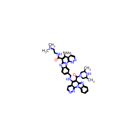 CNc1c(C(=O)NCCN(C)C)c2nc3ccc(CNc4c(C(=O)N5CC(C)NC(C)C5)c5nc6ccccc6n5c5nnccc45)cc3n2c2nnccc12